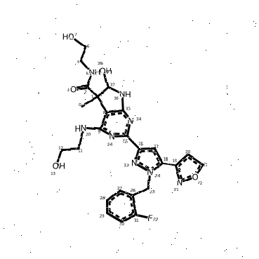 CC1(C(=O)NCCO)c2c(NCCO)nc(-c3cc(-c4ccon4)n(Cc4ccccc4F)n3)nc2NC1O